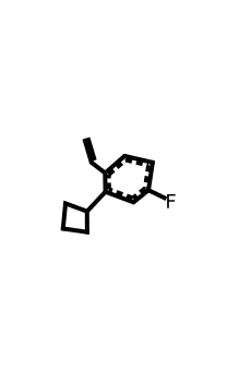 C=Cc1ccc(F)cc1C1CCC1